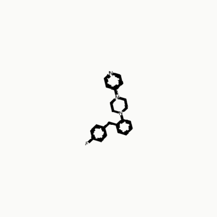 Fc1ccc(Cc2ccccc2N2CCN(c3ccncc3)CC2)cc1